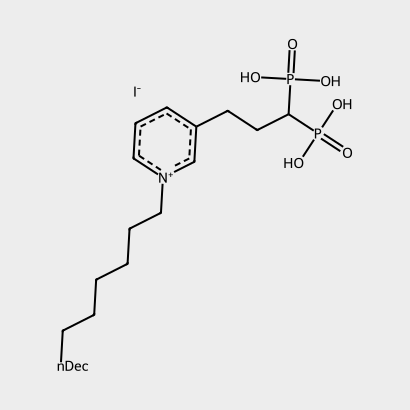 CCCCCCCCCCCCCCCC[n+]1cccc(CCC(P(=O)(O)O)P(=O)(O)O)c1.[I-]